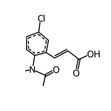 CC(=O)N(C)c1ccc(Cl)cc1/C=C/C(=O)O